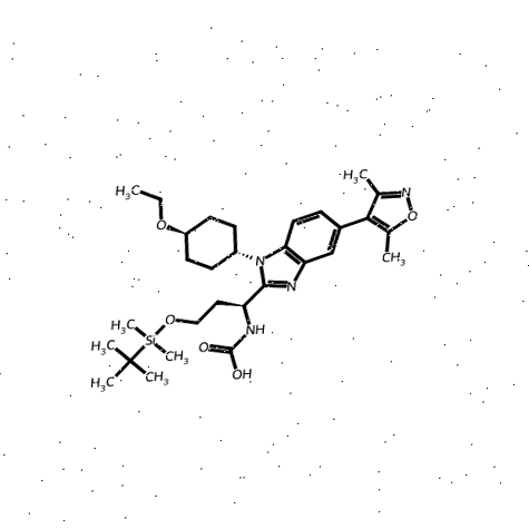 CCO[C@H]1CC[C@H](n2c([C@H](CCO[Si](C)(C)C(C)(C)C)NC(=O)O)nc3cc(-c4c(C)noc4C)ccc32)CC1